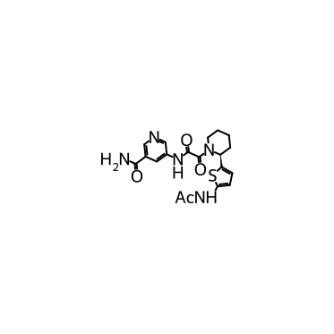 CC(=O)Nc1ccc([C@@H]2CCCCN2C(=O)C(=O)Nc2cncc(C(N)=O)c2)s1